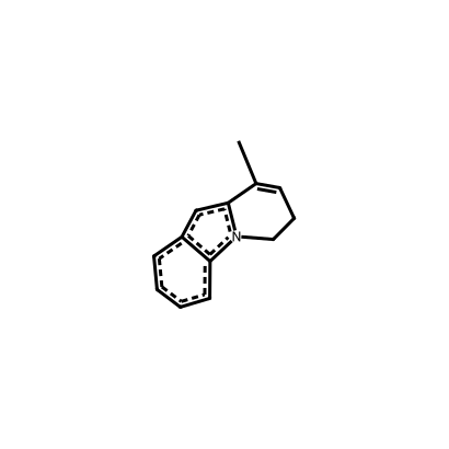 CC1=CCCn2c1cc1ccccc12